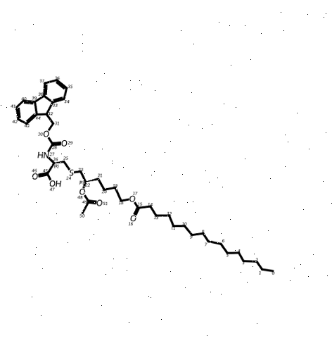 CCCCCCCCCCCCCCCC(=O)OCCCC[C@H](CSC[C@H](NC(=O)OCC1c2ccccc2-c2ccccc21)C(=O)O)OC(C)=O